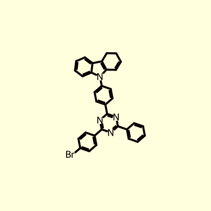 Brc1ccc(-c2nc(-c3ccccc3)nc(-c3ccc(-n4c5c(c6ccccc64)CCC=C5)cc3)n2)cc1